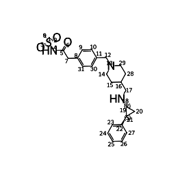 CS(=O)(=O)NC(=O)Cc1ccc(CN2CCC(CN[C@@H]3C[C@H]3c3ccccc3)CC2)cc1